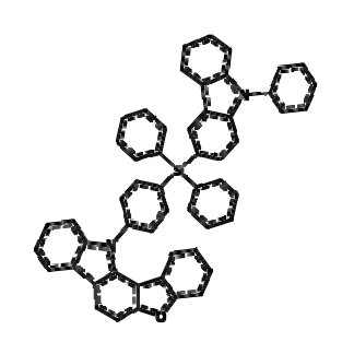 c1ccc(-n2c3ccccc3c3cc([Si](c4ccccc4)(c4ccccc4)c4ccc(-n5c6ccccc6c6ccc7oc8ccccc8c7c65)cc4)ccc32)cc1